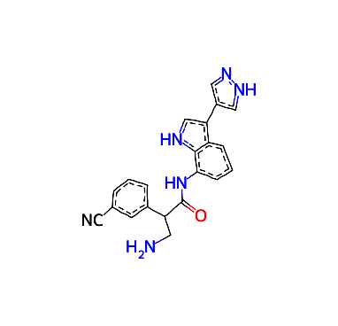 N#Cc1cccc(C(CN)C(=O)Nc2cccc3c(-c4cn[nH]c4)c[nH]c23)c1